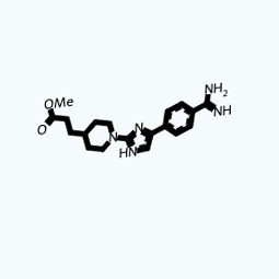 COC(=O)CCC1CCN(c2nc(-c3ccc(C(=N)N)cc3)c[nH]2)CC1